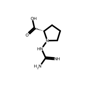 N=C(N)NN1CCC[C@H]1C(=O)O